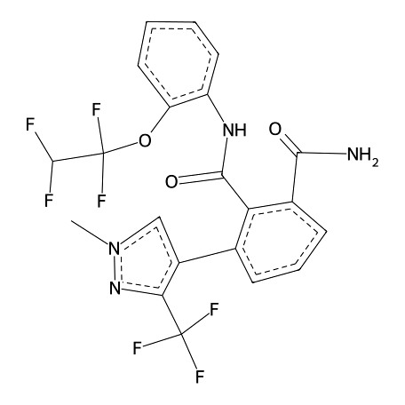 Cn1cc(-c2cccc(C(N)=O)c2C(=O)Nc2ccccc2OC(F)(F)C(F)F)c(C(F)(F)F)n1